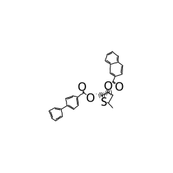 CC1C[C@@H](OC(=O)c2ccc3ccccc3c2)[C@@H](COC(=O)c2ccc(-c3ccccc3)cc2)S1